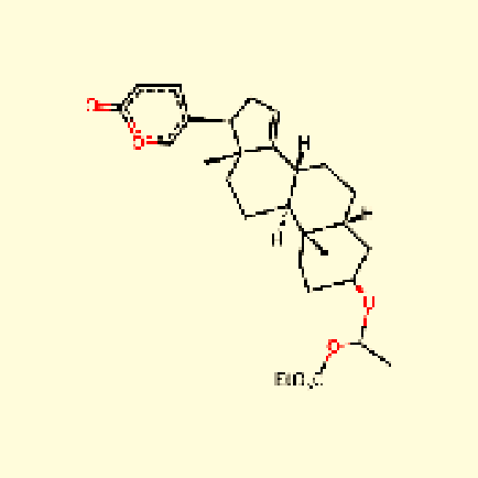 CCOC(=O)OC(C)O[C@H]1CC[C@@]2(C)[C@H](CC[C@H]3C4=CC[C@H](c5ccc(=O)oc5)[C@@]4(C)CC[C@@H]32)C1